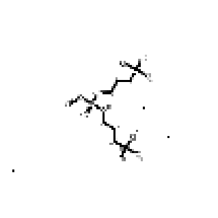 O=P(OCl)(OCCCC(Cl)(Cl)Cl)OCCCC(Cl)(Cl)Cl